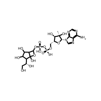 C[C@@]1(O)[C@H](O)[C@@H](COP(=O)(S)OP(=O)(O)OC2OC3(O)C2C(O)C(O)C3[C@H](O)CO)O[C@H]1n1cnc2c(N)ncnc21